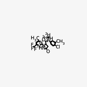 [2H]C([2H])([2H])N(C(=O)C1CC(=O)NN1c1nc(C)cc(C(F)(F)F)n1)c1ccc(Cl)c(C)c1